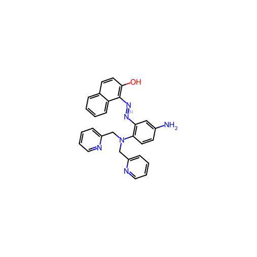 Nc1ccc(N(Cc2ccccn2)Cc2ccccn2)c(/N=N/c2c(O)ccc3ccccc23)c1